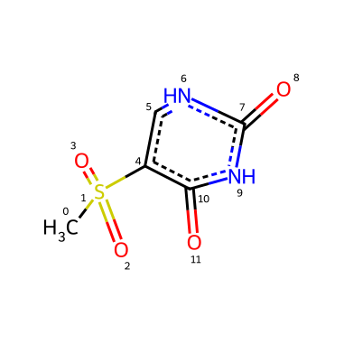 CS(=O)(=O)c1c[nH]c(=O)[nH]c1=O